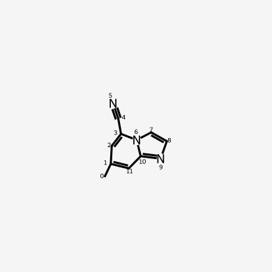 Cc1cc(C#N)n2ccnc2c1